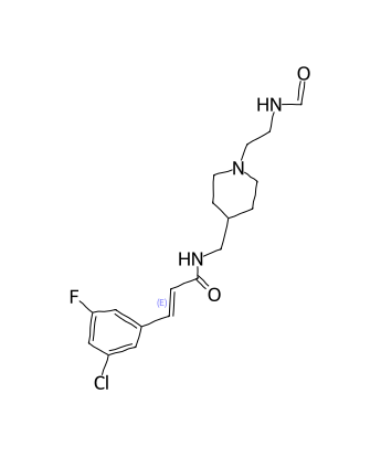 O=CNCCN1CCC(CNC(=O)/C=C/c2cc(F)cc(Cl)c2)CC1